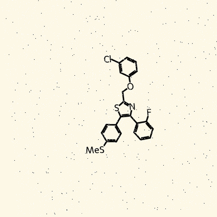 CSc1ccc(-c2sc(COc3cccc(Cl)c3)nc2-c2ccccc2F)cc1